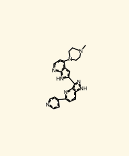 CN1CCN(c2ccnc3[nH]c(-c4n[nH]c5ccc(-c6ccncc6)nc45)cc23)CC1